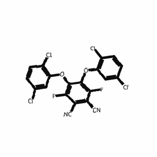 N#Cc1c(F)c(Oc2cc(Cl)ccc2Cl)c(Oc2cc(Cl)ccc2Cl)c(F)c1C#N